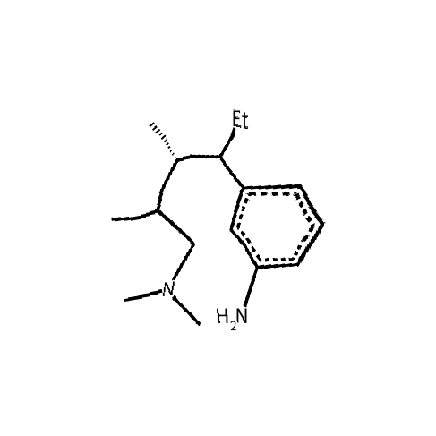 CCC(c1cccc(N)c1)[C@@H](C)C(C)CN(C)C